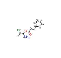 CC(Cl)C(N)OC(=O)C=Cc1ccccc1